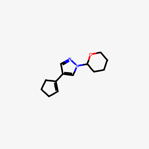 C1=C(c2cnn(C3CCCCO3)c2)CCC1